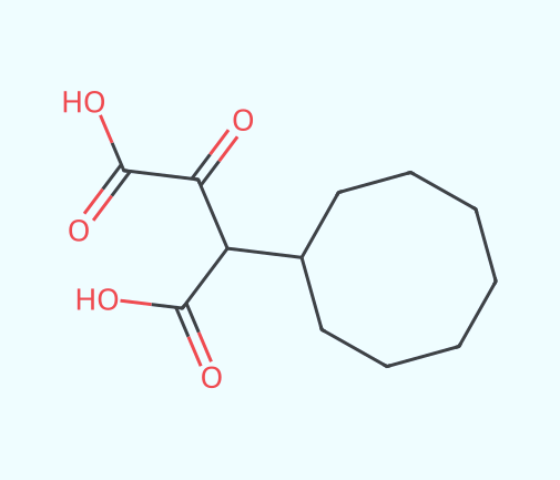 O=C(O)C(=O)C(C(=O)O)C1CCCCCCC1